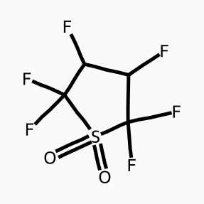 O=S1(=O)C(F)(F)C(F)C(F)C1(F)F